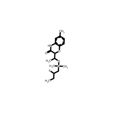 CCC(F)C[Si](C)(C)OC(C)C1Oc2ccc(C)cc2NC1=O